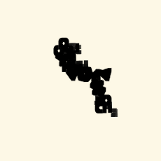 C=CC(=O)N1CC2(C1)CN(C(CC1CC1)c1ccc(C3(Nc4ncc5c(n4)N(CC)C(=O)OC5)CC3)cc1)C2